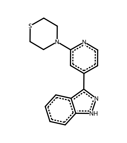 c1ccc2c(-c3ccnc(N4CCSCC4)c3)n[nH]c2c1